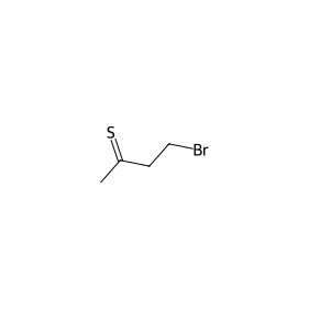 CC(=S)CCBr